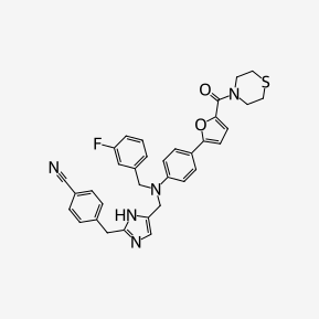 N#Cc1ccc(Cc2ncc(CN(Cc3cccc(F)c3)c3ccc(-c4ccc(C(=O)N5CCSCC5)o4)cc3)[nH]2)cc1